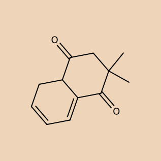 CC1(C)CC(=O)C2CC=CC=C2C1=O